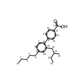 CCCCCc1ccc(-c2ccc(C(=O)O)cc2)c(CC(C)CC)c1